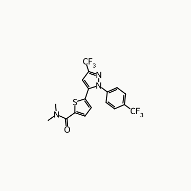 CN(C)C(=O)c1ccc(-c2cc(C(F)(F)F)nn2-c2ccc(C(F)(F)F)cc2)s1